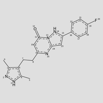 Cc1n[nH]c(C)c1CCc1cc(=O)n2[nH]c(-c3ccc(F)cc3)cc2n1